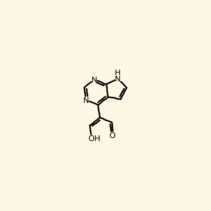 O=CC(=CO)c1ncnc2[nH]ccc12